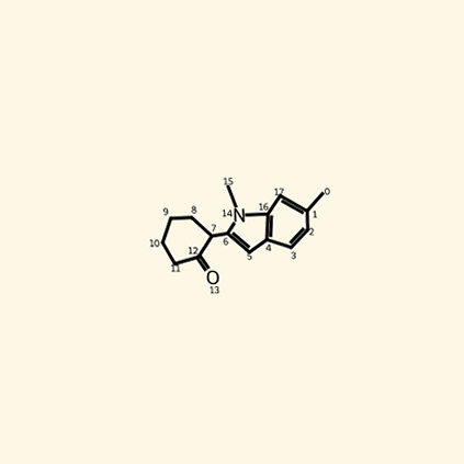 Cc1ccc2cc(C3CCCCC3=O)n(C)c2c1